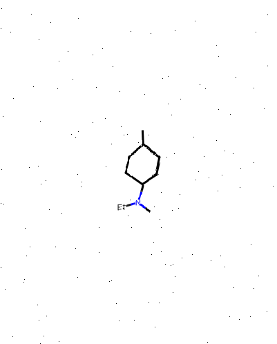 CCN(C)C1CCC(C)CC1